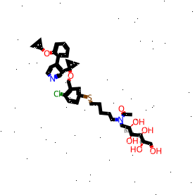 CC(=O)N(CCCCCSc1ccc(Cl)c(COC2(c3cnccc3-c3ccccc3OC3CC3)CC2)c1)C[C@H](O)[C@@H](O)[C@H](O)[C@H](O)CO